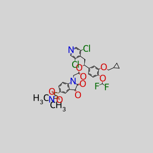 CN(C)S(=O)(=O)c1ccc2c(c1)C(=O)C(=O)N2CC(=O)O[C@@H](Cc1c(Cl)cncc1Cl)c1ccc(OC(F)F)c(OCC2CC2)c1